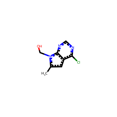 Cc1cc2c(Cl)ncnc2n1CO